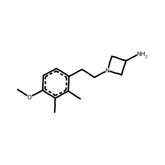 COc1ccc(CCN2CC(N)C2)c(C)c1C